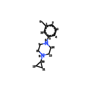 Cc1cccc(N2CCN(C3CC3)CC2)c1